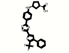 O=C(O)[C@@H]1CC[C@H](Nc2ccc(-c3nc(-c4cc(-c5ccccc5)c(C(F)(F)F)s4)no3)cc2)C1